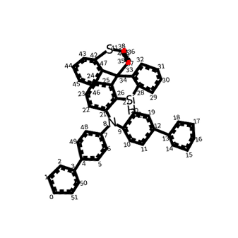 c1ccc(-c2ccc(N(c3ccc(-c4ccccc4)cc3)c3cccc4c3[SiH2]c3ccccc3C43c4ccccc4Sc4ccccc43)cc2)cc1